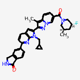 Cc1c(-c2cc3ccc(-c4ccc5c(c4)CNC5=O)nc3n2CC2CC2)nn2cc(C(=O)N3C[C@H](C)C[C@@H](F)C3)ccc12